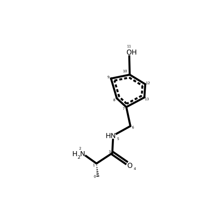 C[C@H](N)C(=O)NCc1ccc(O)cc1